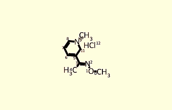 CON=C(C)C1=CC=CN(C)C1.Cl